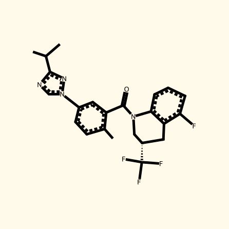 Cc1ccc(-n2cnc(C(C)C)n2)cc1C(=O)N1C[C@@H](C(F)(F)F)Cc2c(F)cccc21